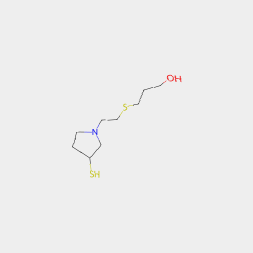 OCCCSCCN1CCC(S)C1